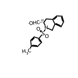 Cc1ccc(S(=O)(=O)N2Cc3ccccc3C[C@H]2[C]=O)cc1